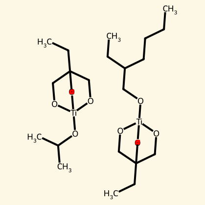 CCC12C[O][Ti]([O]C(C)C)([O]C1)[O]C2.CCCCC(CC)C[O][Ti]12[O]CC(CC)(C[O]1)C[O]2